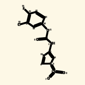 O=C(NC1=CS(=S(=O)=O)C=N1)Oc1ccc(F)c(Cl)c1